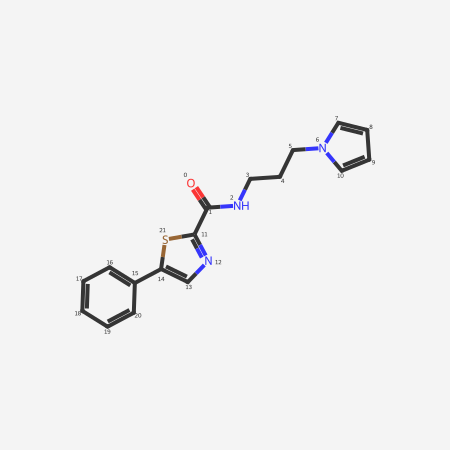 O=C(NCCCn1cccc1)c1ncc(-c2ccccc2)s1